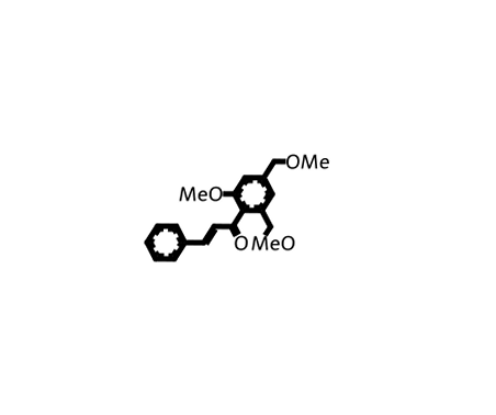 COCc1cc(COC)c(C(=O)/C=C/c2ccccc2)c(OC)c1